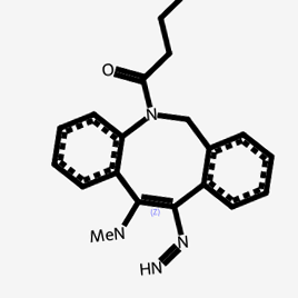 CN/C1=C(\N=N)c2ccccc2CN(C(=O)CCC(C)=O)c2ccccc21